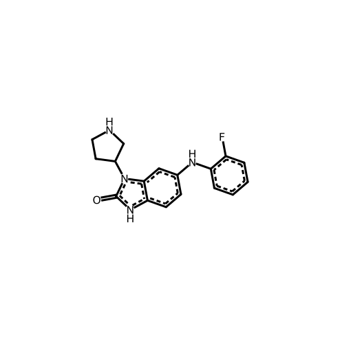 O=c1[nH]c2ccc(Nc3ccccc3F)cc2n1C1CCNC1